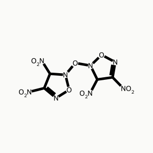 O=[N+]([O-])C1=NON(ON2ON=C([N+](=O)[O-])C2[N+](=O)[O-])C1[N+](=O)[O-]